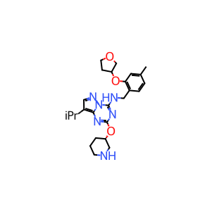 Cc1ccc(CNc2nc(O[C@@H]3CCCNC3)nc3c(C(C)C)cnn23)c(OC2CCOC2)c1